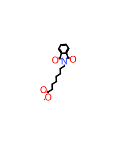 COC(=O)CCCCCCCN1C(=O)c2ccccc2C1=O